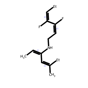 C/C=C(\C=C(\C)CC)NC/C=C(F)\C(F)=C/CC